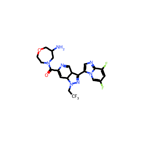 NC1COCCN(C(=O)C2=CC3C(C=N2)C(c2cnc4c(F)cc(F)cn24)=NN3CC(F)(F)F)C1